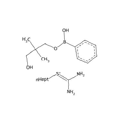 CC(C)(CO)COB(O)c1ccccc1.CCCCCCC[S+]=C(N)N